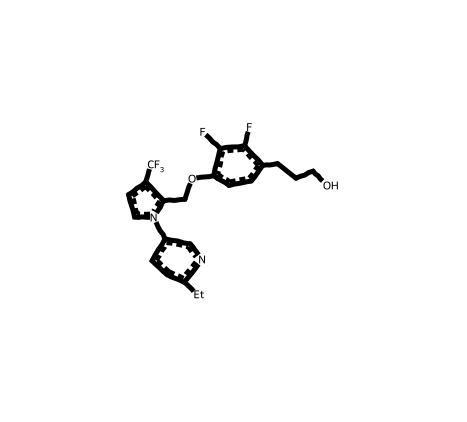 CCc1ccc(-n2ccc(C(F)(F)F)c2COc2ccc(CCCO)c(F)c2F)cn1